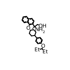 CCC(CC)Oc1ccc(C2CCC(Oc3c([C@@](C)(N)CO)ccc4ccccc34)CC2)cc1